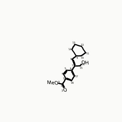 COC(=O)c1ccc(/C(=C/C2CCCCC2)CO)cc1